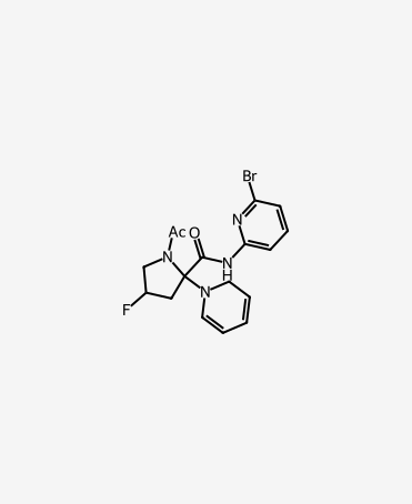 CC(=O)N1CC(F)CC1(C(=O)Nc1cccc(Br)n1)N1C=CC=CC1